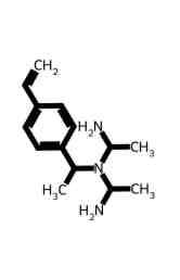 C=Cc1ccc(C(C)N(C(C)N)C(C)N)cc1